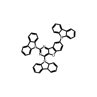 C1=CC2c3ccccc3N(c3nc(-n4c5ccccc5c5ccccc54)nc4c3oc3ccc(-n5c6ccccc6c6ccccc65)cc34)C2C=C1